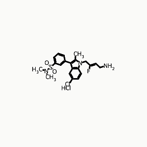 Cc1c(-c2cccc(S(=O)(=O)N(C)C)c2)c2cc(Cl)ccc2n1C/C(F)=C/CN.Cl